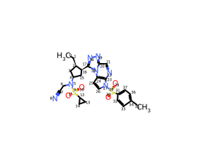 CC[C@@H]1C[C@H](N(CC#N)S(=O)(=O)C2CC2)C[C@@H]1c1nnc2cnc3c(ccn3S(=O)(=O)c3ccc(C)cc3)n12